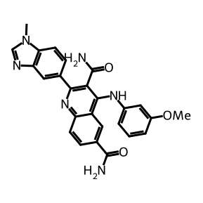 COc1cccc(Nc2c(C(N)=O)c(-c3ccc4c(c3)ncn4C)nc3ccc(C(N)=O)cc23)c1